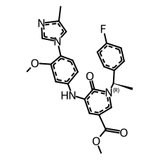 COC(=O)c1cc(Nc2ccc(-n3cnc(C)c3)c(OC)c2)c(=O)n([C@H](C)c2ccc(F)cc2)c1